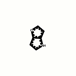 [c]1coc2cc[nH]c12